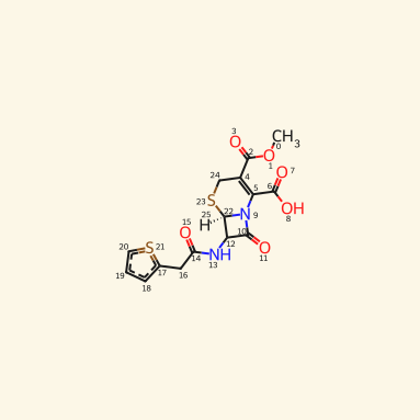 COC(=O)C1=C(C(=O)O)N2C(=O)C(NC(=O)Cc3cccs3)[C@H]2SC1